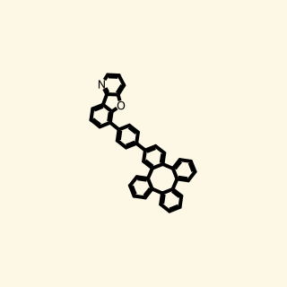 c1ccc2c(c1)-c1ccccc1-c1ccc(-c3ccc(-c4cccc5c4oc4cccnc45)cc3)cc1-c1ccccc1-2